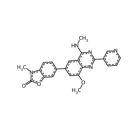 CNc1nc(-c2cccnc2)nc2c(OC)cc(-c3ccc4c(c3)oc(=O)n4C)cc12